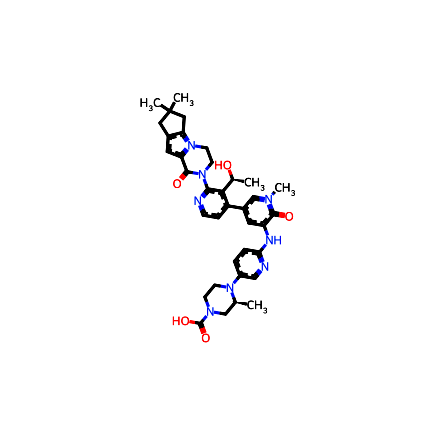 C[C@H](O)c1c(-c2cc(Nc3ccc(N4CCN(C(=O)O)C[C@@H]4C)cn3)c(=O)n(C)c2)ccnc1N1CCn2c(cc3c2CC(C)(C)C3)C1=O